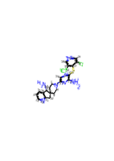 Nc1nc(N2CCC3(CC2)Cc2ncccc2[C@H]3N)cnc1Sc1c(Cl)cncc1Cl